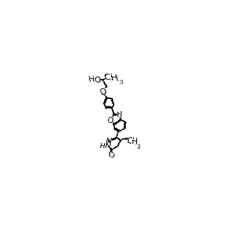 CCC1CC(=O)NN=C1c1ccc2nc(-c3ccc(OCC(C)O)cc3)oc2c1